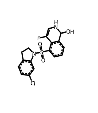 O=S(=O)(c1cccc2c1C(F)=CNC2O)N1CCc2ccc(Cl)cc21